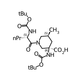 CCC[C@H](NC(=O)OC(C)(C)C)C(=O)N1C[C@@H](C)C[C@](NC(=O)OC(C)(C)C)(C(=O)O)C1